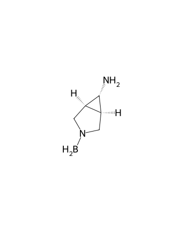 BN1C[C@@H]2[C@@H](N)[C@@H]2C1